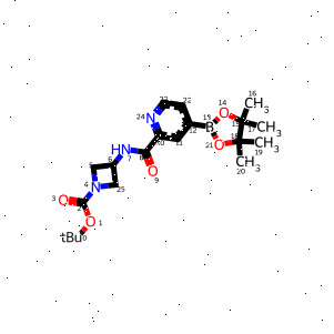 CC(C)(C)OC(=O)N1CC(NC(=O)c2cc(B3OC(C)(C)C(C)(C)O3)ccn2)C1